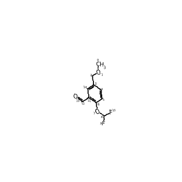 COCc1ccc(OC(F)F)c(C=O)c1